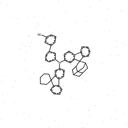 N#Cc1cccc(-c2cccc(N(c3ccc4c(c3)C3(CCCCC3)c3ccccc3-4)c3ccc4c(c3)C3(c5ccccc5-4)C4CC5CC(C4)CC3C5)c2)c1